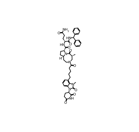 C[C@H]1CN(C(=O)CCCCc2cccc3c2n(C)c(=O)n3C2CCC(=O)NC2=O)CC[C@H]2CC[C@@H](C(=O)N[C@@H](CCC(N)=O)C(=O)NC(c3ccccc3)c3ccccc3)N2C1=O